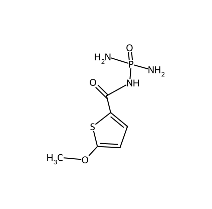 COc1ccc(C(=O)NP(N)(N)=O)s1